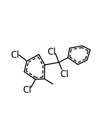 Cc1c(Cl)cc(Cl)cc1C(Cl)(Cl)c1ccccc1